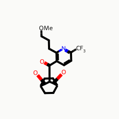 COCCCc1nc(C(F)(F)F)ccc1C(=O)C1C(=O)C2CCC(CC2)C1=O